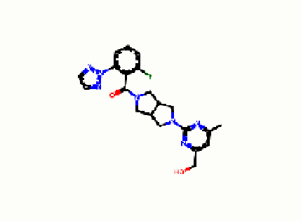 Cc1cc(CO)nc(N2CC3CN(C(=O)c4c(F)cccc4-n4nccn4)CC3C2)n1